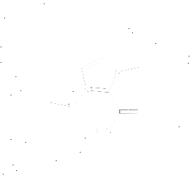 Cn1cc[n+](CI)c1C(N)=O